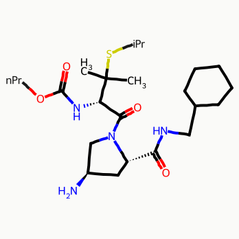 CCCOC(=O)N[C@@H](C(=O)N1C[C@H](N)C[C@H]1C(=O)NCC1CCCCC1)C(C)(C)SC(C)C